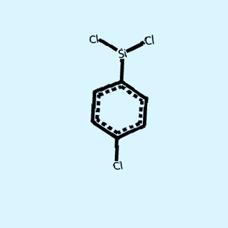 Clc1ccc([Si](Cl)Cl)cc1